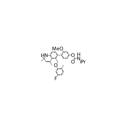 COc1cc(OC(=O)NC(C)C)ccc1-c1ccc2c(c1COc1cc(F)ccc1C)C(C)=CC(C)(C)N2